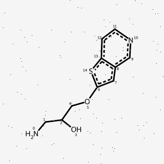 NCC(O)COc1cc2cnccc2s1